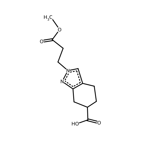 COC(=O)CCn1cc2c(n1)CC(C(=O)O)CC2